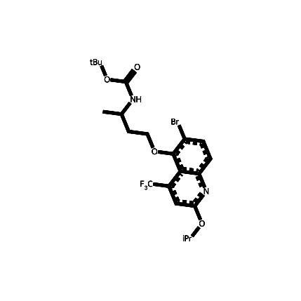 CC(CCOc1c(Br)ccc2nc(OC(C)C)cc(C(F)(F)F)c12)NC(=O)OC(C)(C)C